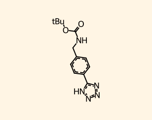 CC(C)(C)OC(=O)NCc1ccc(-c2nnn[nH]2)cc1